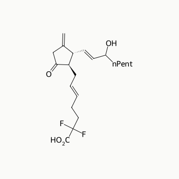 C=C1CC(=O)[C@H](CC=CCCC(F)(F)C(=O)O)[C@H]1C=CC(O)CCCCC